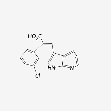 O=C(O)C(=Cc1c[nH]c2ncccc12)c1cccc(Cl)c1